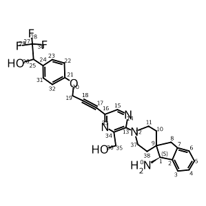 N[C@@H]1c2ccccc2CC12CCN(c1ncc(C#CCOc3ccc(C(O)C(F)(F)F)cc3)nc1CO)CC2